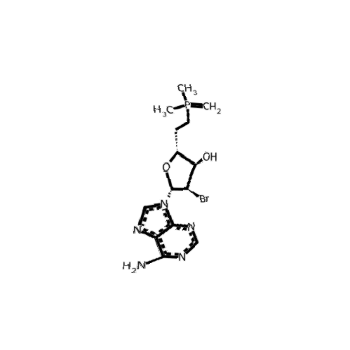 C=P(C)(C)CC[C@H]1O[C@@H](n2cnc3c(N)ncnc32)[C@H](Br)[C@@H]1O